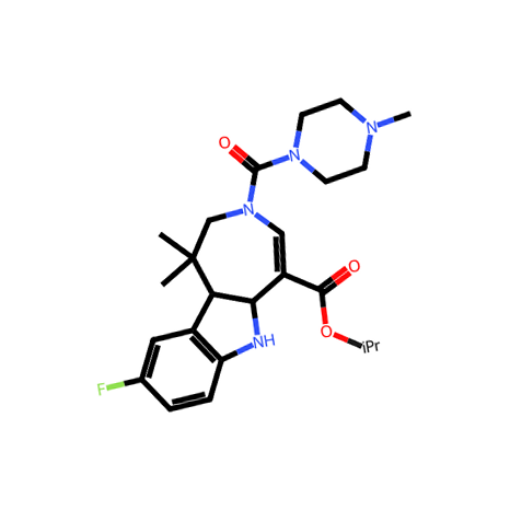 CC(C)OC(=O)C1=CN(C(=O)N2CCN(C)CC2)CC(C)(C)C2c3cc(F)ccc3NC12